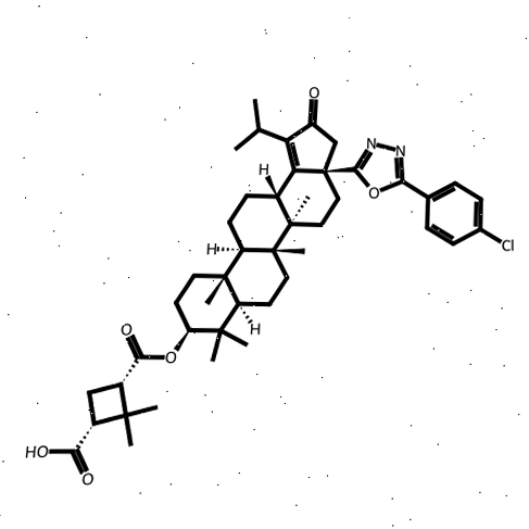 CC(C)C1=C2[C@H]3CC[C@@H]4[C@@]5(C)CC[C@H](OC(=O)[C@H]6C[C@@H](C(=O)O)C6(C)C)C(C)(C)[C@@H]5CC[C@@]4(C)[C@]3(C)CC[C@@]2(c2nnc(-c3ccc(Cl)cc3)o2)CC1=O